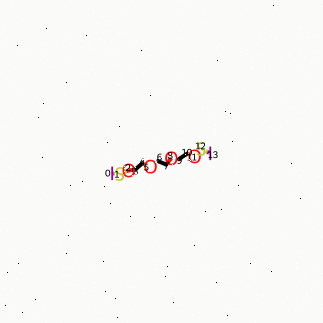 ISOCCOCCOCCOSI